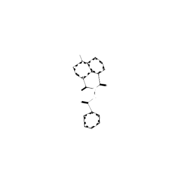 O=C(NN1C(=O)c2cccc3c(O)ccc(c23)C1=O)c1ccccc1